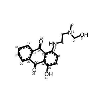 CN(CO)CCNc1ccc(O)c2c1C(=O)c1ccccc1C2=O